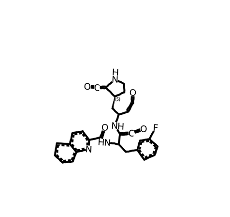 O=C=CC(C[C@@H]1CCNC1=C=O)NC(=C=O)C(Cc1cccc(F)c1)NC(=O)c1ccc2ccccc2n1